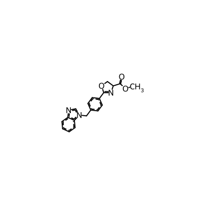 COC(=O)C1COC(c2ccc(Cn3cnc4ccccc43)cc2)=N1